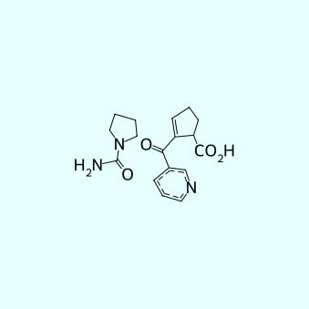 NC(=O)N1CCCC1.O=C(C1=CCCC1C(=O)O)c1cccnc1